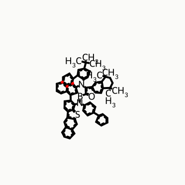 CC(C)(C)c1ccc(N2c3cc4ccccc4c4c3B(c3oc5cc6c(cc5c32)C(C)(C)CCC6(C)C)N(c2ccc(-c3ccccc3)cc2)c2c-4ccc3c2sc2cc4ccccc4cc23)c(-c2ccccc2)c1